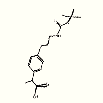 CC(C(=O)O)c1ccc(OCCNC(=O)OC(C)(C)C)cc1